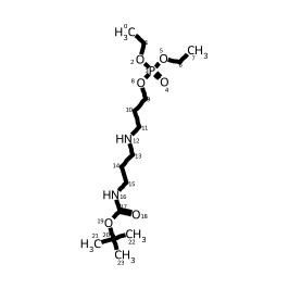 CCOP(=O)(OCC)OCCCNCCCNC(=O)OC(C)(C)C